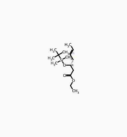 C/C=C/C[C@H](CC(=O)OCC)O[Si](C)(C)C(C)(C)C